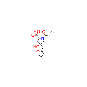 O=C(O)[C@@H]1CC(O)(Cc2ccco2)CN1C(=O)CS